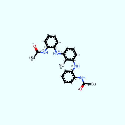 CC(C)(C)C(=O)Nc1ccccc1Nc1cccc(Nc2ccccc2NC(=O)C(C)(C)C)c1C#N